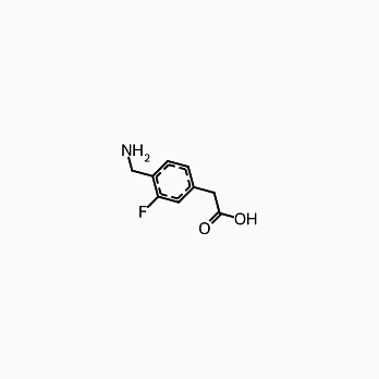 NCc1ccc(CC(=O)O)cc1F